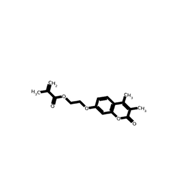 C=C(C)C(=O)OCCOc1ccc2c(C)c(C)c(=O)oc2c1